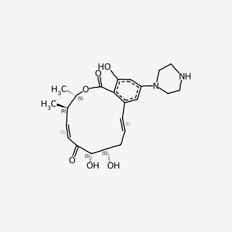 C[C@@H]1/C=C\C(=O)[C@@H](O)[C@@H](O)C/C=C/c2cc(N3CCNCC3)cc(O)c2C(=O)O[C@H]1C